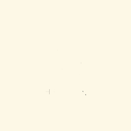 CCC1C=C(c2c(C)cncc2C)CCC1